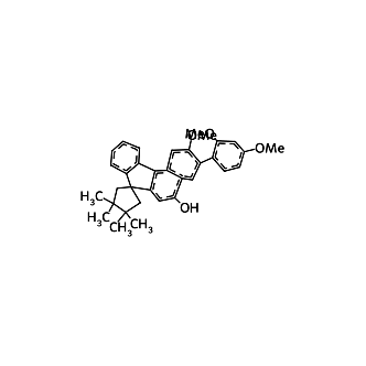 COc1ccc(-c2cc3c(O)cc4c(c3cc2OC)-c2ccccc2C42CC(C)(C)C(C)(C)C2)c(OC)c1